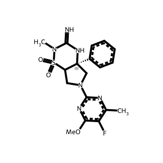 COc1nc(N2CC3[C@](c4ccccc4)(C2)NC(=N)N(C)S3(=O)=O)nc(C)c1F